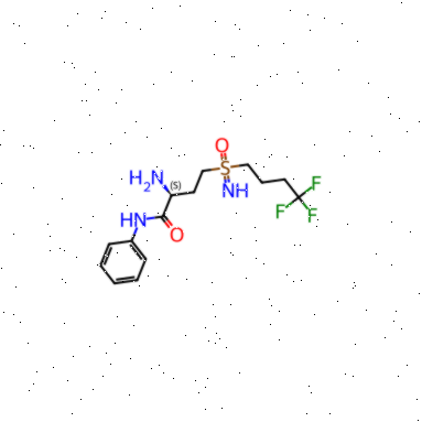 N=S(=O)(CCCC(F)(F)F)CC[C@H](N)C(=O)Nc1ccccc1